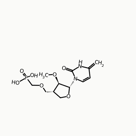 C=C1C=CN([C@@H]2OC[C@H](COCP(=O)(O)O)[C@H]2OC)C(=O)N1